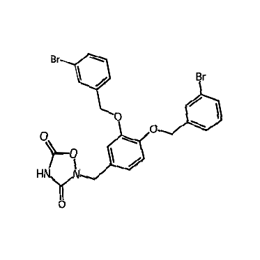 O=c1[nH]c(=O)n(Cc2ccc(OCc3cccc(Br)c3)c(OCc3cccc(Br)c3)c2)o1